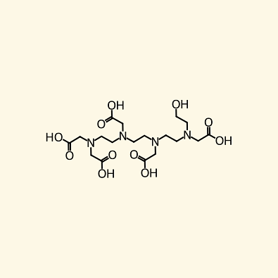 O=C(O)CN(CCO)CCN(CCN(CCN(CC(=O)O)CC(=O)O)CC(=O)O)CC(=O)O